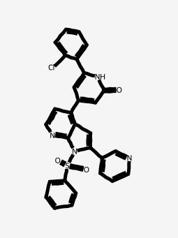 O=c1cc(-c2ccnc3c2cc(-c2cccnc2)n3S(=O)(=O)c2ccccc2)cc(-c2ccccc2Cl)[nH]1